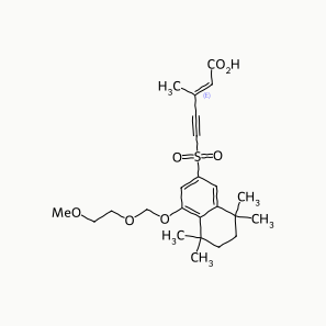 COCCOCOc1cc(S(=O)(=O)C#C/C(C)=C/C(=O)O)cc2c1C(C)(C)CCC2(C)C